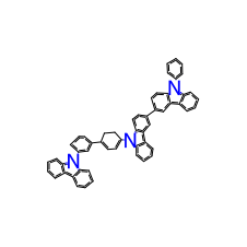 C1=C(c2cccc(-n3c4ccccc4c4ccccc43)c2)CCC(n2c3ccccc3c3cc(-c4ccc5c(c4)c4ccccc4n5-c4ccccc4)ccc32)=C1